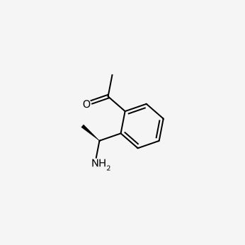 CC(=O)c1ccccc1[C@H](C)N